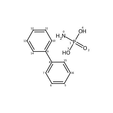 NP(=O)(O)O.c1ccc(-c2ccccc2)cc1